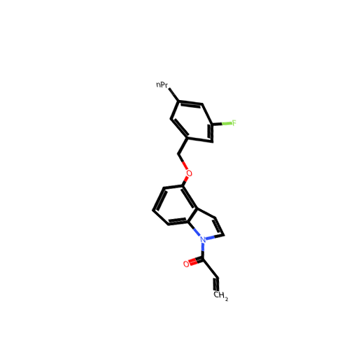 C=CC(=O)n1ccc2c(OCc3cc(F)cc(CCC)c3)cccc21